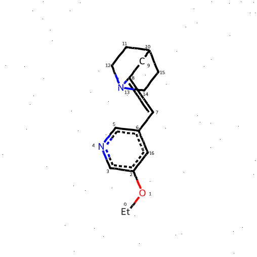 CCOc1cncc(C=C2CC3CCN2CC3)c1